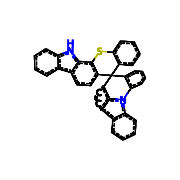 c1ccc2c(c1)Sc1c(ccc3c1[nH]c1ccccc13)C21c2ccccc2-n2c3ccccc3c3cccc1c32